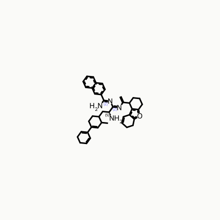 C=C(/N=C(\N=C(/N)c1ccc2ccccc2c1)[C@@H](N)CC1CCC(C2=CCCC=C2)=CC1C)C1CCCc2oc3c(c21)C=CCC3